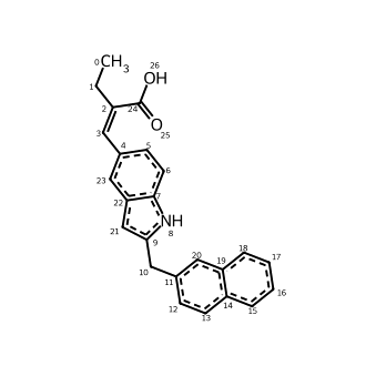 CCC(=Cc1ccc2[nH]c(Cc3ccc4ccccc4c3)cc2c1)C(=O)O